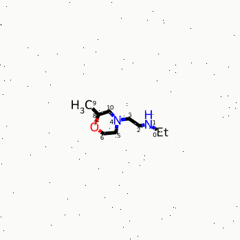 CCNCCN1CCOC(C)C1